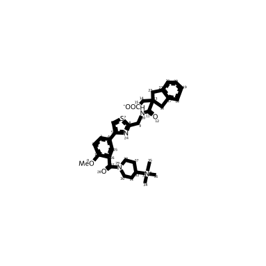 COc1ccc(-c2csc(CNC(=O)C3(CC(=O)[O-])Cc4ccccc4C3)n2)cc1C(=O)N1CCC([N+](C)(C)C)CC1